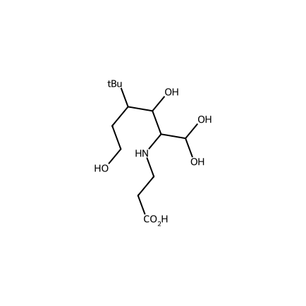 CC(C)(C)C(CCO)C(O)C(NCCC(=O)O)C(O)O